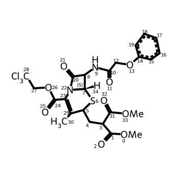 COC(=O)C(CC1S[C@H]2C(NC(=O)COc3ccccc3)C(=O)N2C(C(=O)OCC(Cl)(Cl)Cl)=C1C)C(=O)OC